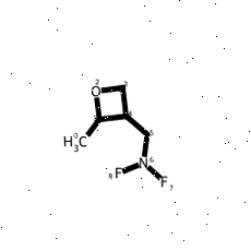 CC1OCC1CN(F)F